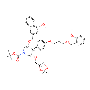 COc1ccccc1COCCCOc1ccc([C@@H]2[C@@H](OCc3cc(OC)c4ccccc4c3)CN(C(=O)OC(C)(C)C)C[C@H]2OC[C@H]2COC(C)(C)O2)cc1